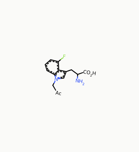 CC(=O)Cn1cc(CC(N)C(=O)O)c2c(F)cccc21